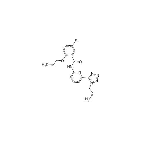 C=CCOc1ccc(F)cc1C(=O)Nc1cccc(-c2nncn2CC=C)n1